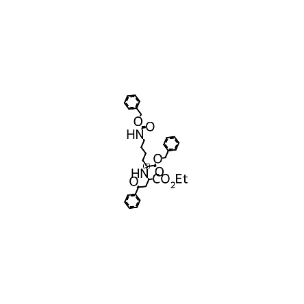 CCOC(=O)C(CC(=O)c1ccccc1)N[C@@H](CCCCNC(=O)OCc1ccccc1)C(=O)OCc1ccccc1